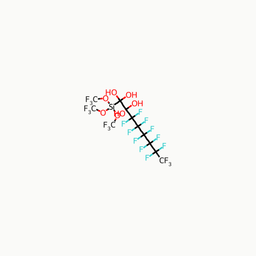 OC(O)(C(F)(F)C(F)(F)C(F)(F)C(F)(F)C(F)(F)C(F)(F)F)C(O)(O)[Si](OC(F)(F)F)(OC(F)(F)F)OC(F)(F)F